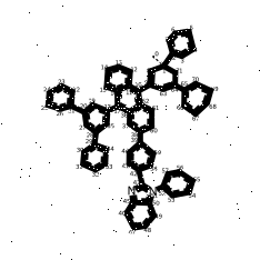 C[C@@]1(c2ccccc2)C=C(c2c3ccccc3c(-c3cc(-c4ccccc4)cc(-c4ccccc4)c3)c3cc(-c4ccc(-c5nc6ccccc6n5-c5ccccc5)cc4)ccc23)C=C(c2ccccc2)C1